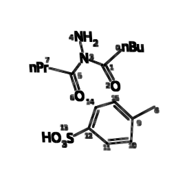 CCCCC(=O)N(N)C(=O)CCC.Cc1ccc(S(=O)(=O)O)cc1